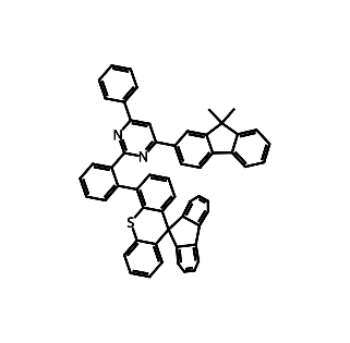 CC1(C)c2ccccc2-c2ccc(-c3cc(-c4ccccc4)nc(-c4ccccc4-c4cccc5c4Sc4ccccc4C54c5ccccc5-c5ccccc54)n3)cc21